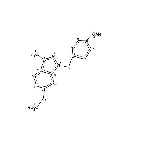 COc1ccc(Cn2nc(C(F)(F)F)c3ccc(CC(=O)O)cc32)cc1